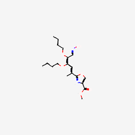 CCCCOC(/C=N/O)=C(/C=C(\C)c1nc(C(=O)OC)co1)OCCCC